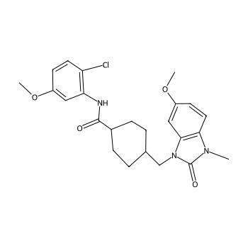 COc1ccc(Cl)c(NC(=O)C2CCC(Cn3c(=O)n(C)c4ccc(OC)cc43)CC2)c1